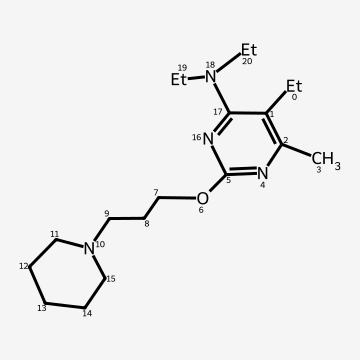 CCc1c(C)nc(OCCCN2CCCCC2)nc1N(CC)CC